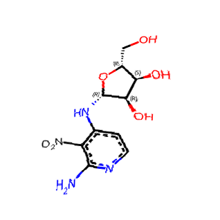 Nc1nccc(N[C@@H]2O[C@H](CO)[C@@H](O)[C@H]2O)c1[N+](=O)[O-]